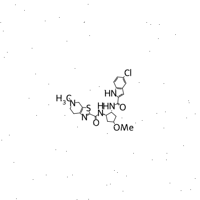 COC1C[C@@H](NC(=O)c2cc3cc(Cl)ccc3[nH]2)[C@H](NC(=O)c2nc3c(s2)CN(C)CC3)C1